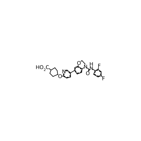 O=C(O)C1CCC(Oc2ccc(-c3ccc4c(c3)OCCN4C(=O)Nc3ccc(F)cc3F)cn2)CC1